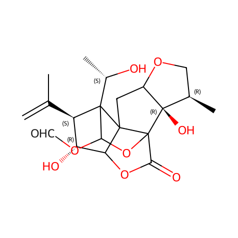 C=C(C)[C@@H]1[C@@H](O)C2OC(=O)C34OC(OC=O)C1([C@H](C)O)C23CC1OC[C@@H](C)[C@@]14O